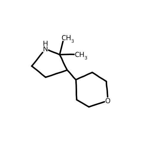 CC1(C)NCCC1C1CCOCC1